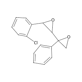 Clc1ccccc1C1OC1C1(c2ccccc2)CO1